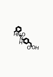 Cc1ccccc1NC(=O)Nc1ccc(CC(=O)O)cc1